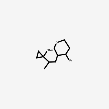 COC1(C(C)CC2COCCC2C(C)C)CC1